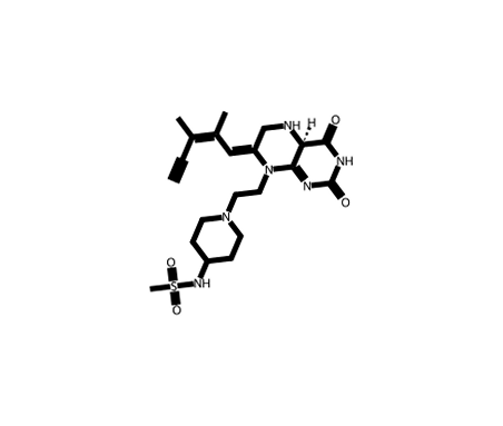 C#C/C(C)=C(C)\C=C1/CN[C@H]2C(=O)NC(=O)N=C2N1CCN1CCC(NS(C)(=O)=O)CC1